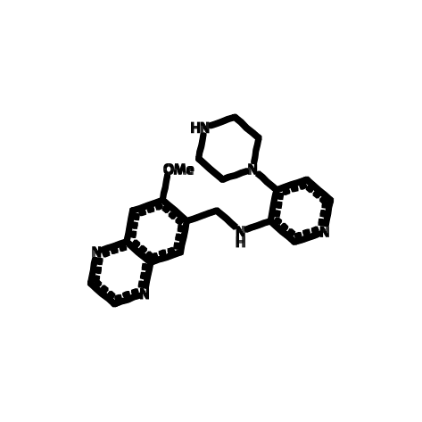 COc1cc2nccnc2cc1CNc1cnccc1N1CCNCC1